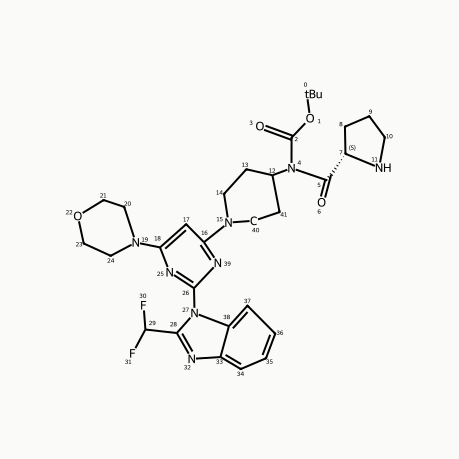 CC(C)(C)OC(=O)N(C(=O)[C@@H]1CCCN1)C1CCN(c2cc(N3CCOCC3)nc(-n3c(C(F)F)nc4ccccc43)n2)CC1